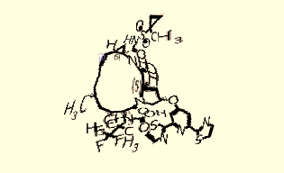 C[C@H]1CC/C=C\[C@@H]2C[C@@]2(C(=O)NS(=O)(=O)C2(C)CC2)NC(=O)[C@@H]2C[C@@H](Oc3cc(-c4nccs4)nc(-c4nccs4)c3)CN2C(=O)[C@@H](N(C(=O)O)C(C)(C)C(F)(F)F)[C@H](C)C1